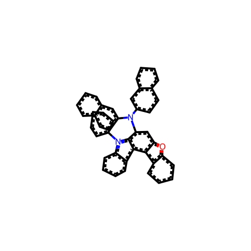 c1ccc(-n2c3ccccc3c3c4c(cc(N(c5ccc6ccccc6c5)c5ccc6ccccc6c5)c32)oc2ccccc24)cc1